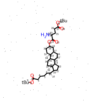 C[C@H](CCCCC(=O)OC(C)(C)C)C1CCC2C3CCC4C[C@H](OC(=O)[C@H](N)CCC(=O)OC(C)(C)C)CC[C@]4(C)C3CC[C@@]21C